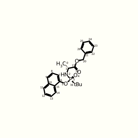 C[C@@H](NP(=O)(Oc1cccc2ccccc12)C(C)(C)C)C(=O)OCc1ccccc1